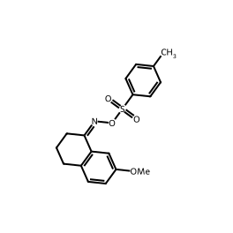 COc1ccc2c(c1)/C(=N\OS(=O)(=O)c1ccc(C)cc1)CCC2